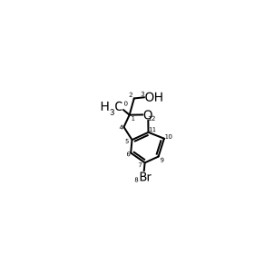 CC1(CO)Cc2cc(Br)ccc2O1